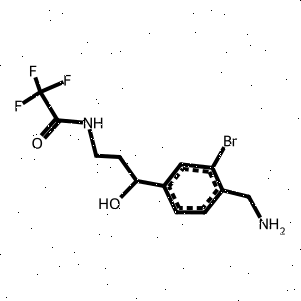 NCc1ccc(C(O)CCNC(=O)C(F)(F)F)cc1Br